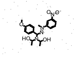 COc1ccc(C([N]N(C)c2cccc([N+](=O)[O-])c2)N(C(C)O)C(C)O)cc1